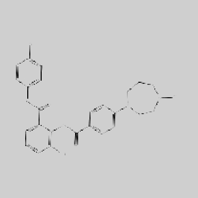 CN1CCCN(c2ccc(C(=O)Nc3c(O)cccc3C(=O)Nc3ccc(Br)cc3)cc2)CC1